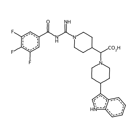 N=C(NC(=O)c1cc(F)c(F)c(F)c1)N1CCC(C(C(=O)O)N2CCC(c3c[nH]c4ccccc34)CC2)CC1